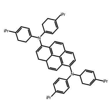 CC(C)C1=CCC(N(c2ccc(C(C)C)cc2)c2ccc3ccc4c5c3c2C=CC5CC=C4N(C2=CC=C(C(C)C)CC2)C2=CC=C(C(C)C)CC2)C=C1